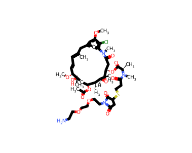 COc1cc2cc(c1Cl)N(C)C(=O)C[C@H](OC(=O)[C@H](C)N(C)C(=O)CCSC1CC(=O)N(CCOCCOCCN)C1=O)[C@]1(C)O[C@H]1[C@H](C)[C@@H](OC(C)=O)C[C@](C)(O)[C@H](OC)/C=C/C=C(\C)C2